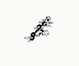 CC(=O)c1c(NN(C)C(=O)OC(C)(C)C)nc(C)nc1C1=CC(C#Cc2ccc3c(ccc(=O)n3C)c2)(NC(=O)C(C)N(CC(C)(C)C)C(=O)O)NC=C1